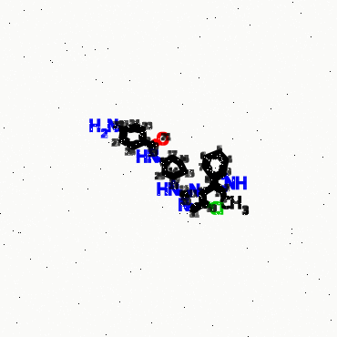 Cc1[nH]c2ccccc2c1-c1nc(N[C@@H]2CCC[C@H](NC(=O)c3ccc(N)cc3)C2)ncc1Cl